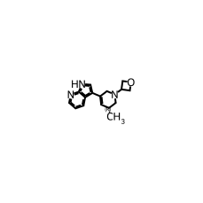 C[C@@H]1C=C(c2c[nH]c3ncccc23)CN(C2COC2)C1